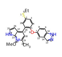 CCSc1ccc(Oc2ccc3[nH]ncc3c2)c(-c2cc(C)[n+](OC)c3[nH]ccc23)c1